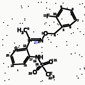 C/C(=N\OCc1ccccc1F)c1ccccc1NS(=O)(=O)C(F)(F)F